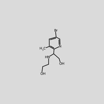 Cc1cc(Br)cnc1C(CO)NCCO